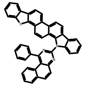 c1ccc(-c2nc(-n3c4ccccc4c4ccc5c6ccc7c8ccccc8sc7c6ccc5c43)nc3ccc4ccccc4c23)cc1